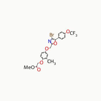 COC(=O)COc1ccc(OCc2nc(Br)c(-c3ccc(OC(F)(F)F)cc3)o2)cc1C